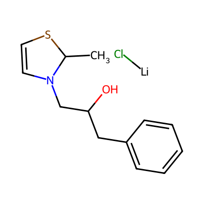 CC1SC=CN1CC(O)Cc1ccccc1.[Li][Cl]